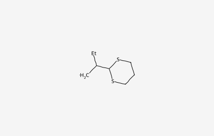 [CH2]C(CC)C1SCCCS1